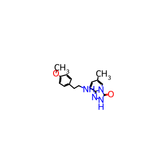 COc1ccc(CCNc2cc(C)cn3c(=O)[nH]nc23)cc1